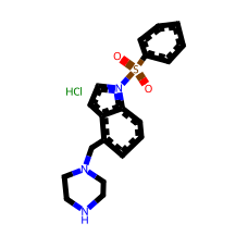 Cl.O=S(=O)(c1ccccc1)n1ccc2c(CN3CCNCC3)cccc21